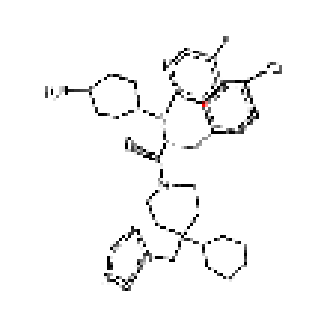 NC1CCC(N(c2ccc(F)cn2)[C@H](Cc2ccc(Cl)cc2)C(=O)N2CCC(Cn3cncn3)(C3CCCCC3)CC2)CC1